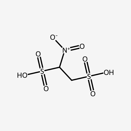 O=[N+]([O-])C(CS(=O)(=O)O)S(=O)(=O)O